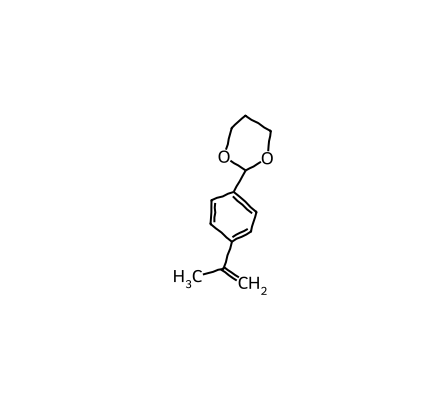 C=C(C)c1ccc(C2OCCCO2)cc1